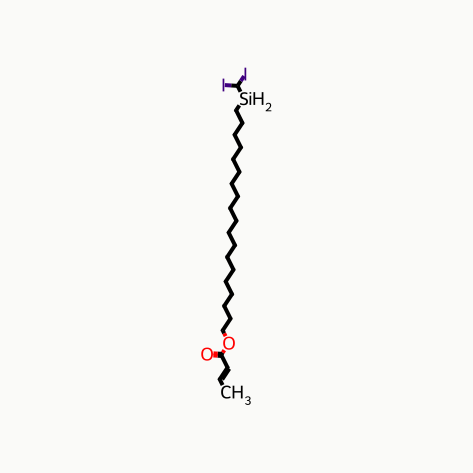 CC=CC(=O)OCCCCCCCCCCCCCCCCCCC[SiH2]C(I)I